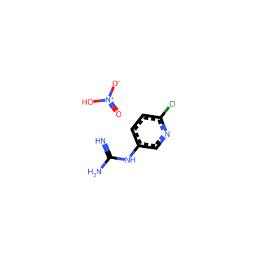 N=C(N)Nc1ccc(Cl)nc1.O=[N+]([O-])O